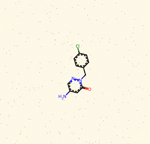 Nc1cnn(Cc2ccc(Cl)cc2)c(=O)c1